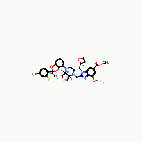 COC(=O)c1cc(OC)c2nc(CN3CCN(c4cccc5c4O[C@](C)(c4ccc(Cl)cc4F)O5)[C@H]4COC[C@H]43)n(C[C@@H]3CCO3)c2c1